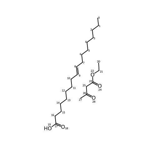 CCCCCCCCC=CCCCCCCCC(=O)O.CCOC(=O)CC(C)=O